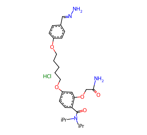 CC(C)N(C(=O)c1ccc(OCCCCCOc2ccc(C=NN)cc2)cc1OCC(N)=O)C(C)C.Cl